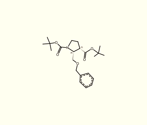 CC(C)(C)OC(=O)[C@H]1CCN(C(=O)OC(C)(C)C)[C@H]1COCc1ccccc1